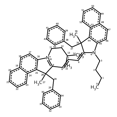 CCCCN1/C(=C/C=C/C2=[N+](CCC(C)C)c3ccc4ccccc4c3C2(C)Cc2ccccc2)C(C)(Cc2ccccc2)c2c1ccc1ccccc21